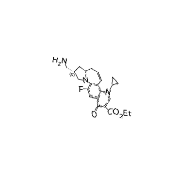 CCOC(=O)c1cn(C2CC2)c2c3c(c(F)cc2c1=O)N1C[C@H](CN)CC1CC=C3